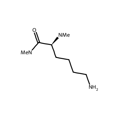 CNC(=O)[C@H](CCCCN)NC